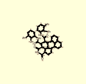 CC(C)c1cccc(NC(=O)c2c3c4c(ccc5c6cccc7cccc(c(c2C(=O)Nc2cccc(C(C)C)c2C(C)C)c45)c76)C(=O)NC3=O)c1C(C)C